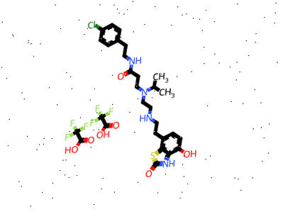 CC(C)N(CCNCCc1ccc(O)c2[nH]c(=O)sc12)CCC(=O)NCCc1ccc(Cl)cc1.O=C(O)C(F)(F)F.O=C(O)C(F)(F)F